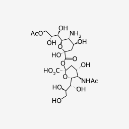 CC(=O)N[C@H]1[C@H]([C@H](O)[C@H](O)CO)O[C@](OC(=O)[C@]2(O)C[C@H](O)[C@@H](N)[C@H]([C@H](O)[C@H](O)COC(C)=O)O2)(C(=O)O)C[C@@H]1O